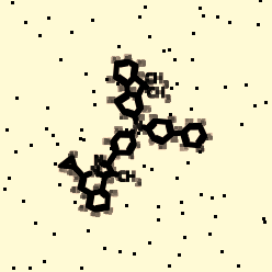 Cc1c(-c2ccc(N(c3ccc(-c4ccccc4)cc3)c3ccc4c(c3)C(C)(C)c3ccccc3-4)cc2)nn2c(C3CC3)cc3ccccc3c12